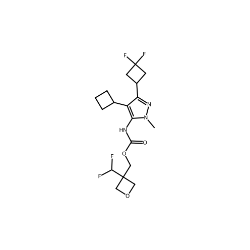 Cn1nc(C2CC(F)(F)C2)c(C2CCC2)c1NC(=O)OCC1(C(F)F)COC1